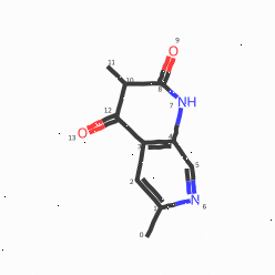 Cc1cc2c(cn1)NC(=O)C(C)C2=O